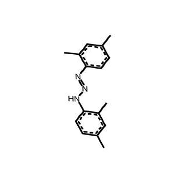 Cc1ccc(N=NNc2ccc(C)cc2C)c(C)c1